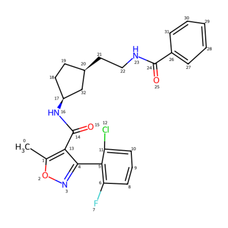 Cc1onc(-c2c(F)cccc2Cl)c1C(=O)N[C@H]1CC[C@@H](CCNC(=O)c2ccccc2)C1